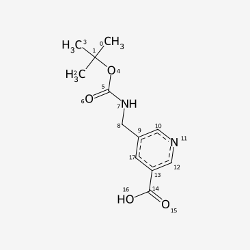 CC(C)(C)OC(=O)NCc1cncc(C(=O)O)c1